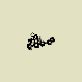 CC(=O)Nc1cnc(-c2cccnc2-c2ccc(-c3ccc(-c4ccc5ccccc5c4)cc3O)cc2)o1